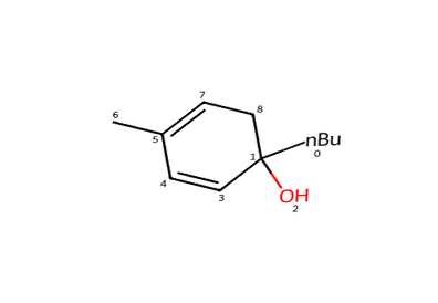 CCCCC1(O)C=CC(C)=CC1